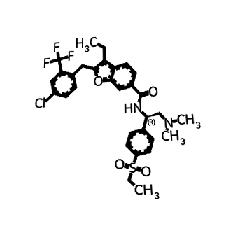 CCc1c(Cc2ccc(Cl)cc2C(F)(F)F)oc2cc(C(=O)N[C@@H](CN(C)C)c3ccc(S(=O)(=O)CC)cc3)ccc12